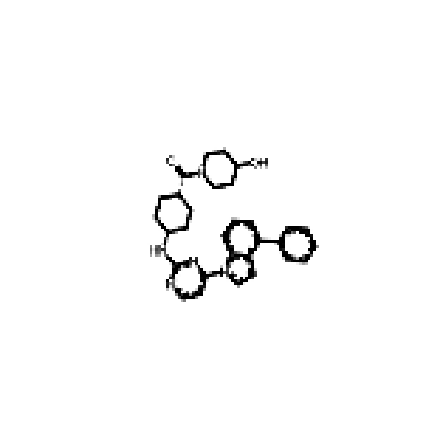 O=C([C@H]1CC[C@H](Nc2nccc(-n3ccc4c(-c5ccccc5)cccc43)n2)CC1)N1CCC(O)CC1